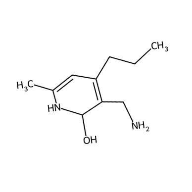 CCCC1=C(CN)C(O)NC(C)=C1